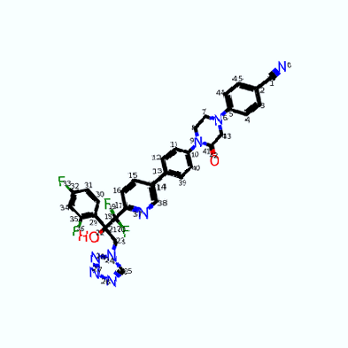 N#Cc1ccc(N2CCN(c3ccc(-c4ccc(C(F)(F)C(O)(Cn5cnnn5)c5ccc(F)cc5F)nc4)cc3)C(=O)C2)cc1